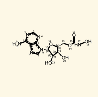 Nc1ncnc2c1ncn2[C@@H]1O[C@H](COC(=O)NO)[C@@H](O)[C@H]1O